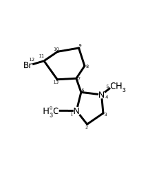 CN1CCN(C)C1C1CCCC(Br)C1